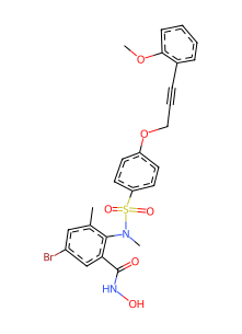 COc1ccccc1C#CCOc1ccc(S(=O)(=O)N(C)c2c(C)cc(Br)cc2C(=O)NO)cc1